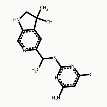 CC(Sc1nc(N)cc(Cl)n1)c1cc2c(cn1)NCC2(C)C